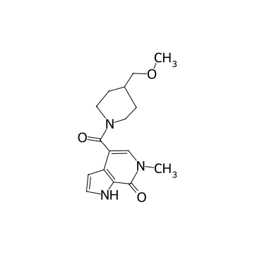 COCC1CCN(C(=O)c2cn(C)c(=O)c3[nH]ccc23)CC1